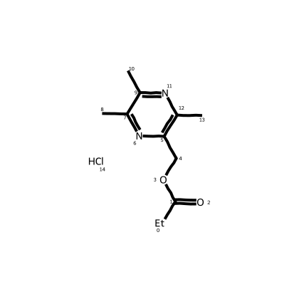 CCC(=O)OCc1nc(C)c(C)nc1C.Cl